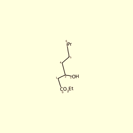 CCOC(=O)CC(O)CCC(C)C